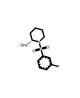 O=C[C@@H]1CCCCN1S(=O)(=O)c1cccc(F)c1